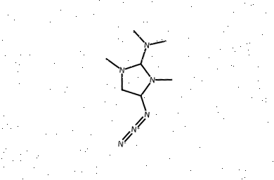 CN(C)C1N(C)CC(N=[N+]=[N-])N1C